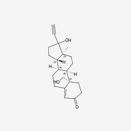 C#CC1(O)CC[C@H]2[C@@H]3CCC4=CC(=O)CC[C@]4(CO)[C@@H]3CC[C@@]21C